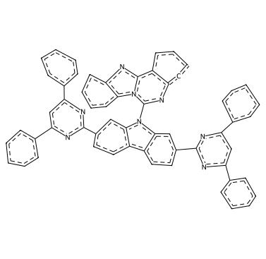 c1ccc(-c2cc(-c3ccccc3)nc(-c3ccc4c5ccc(-c6nc(-c7ccccc7)cc(-c7ccccc7)n6)cc5n(-c5nc6ccccc6c6nc7ccccc7n56)c4c3)n2)cc1